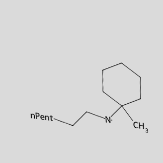 CCCCCCC[N]C1(C)CCCCC1